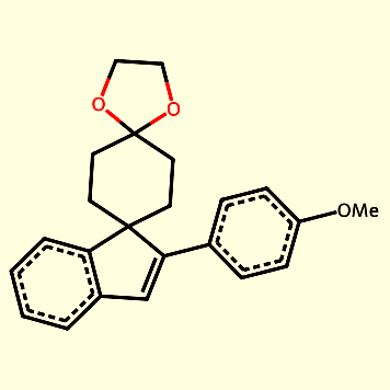 COc1ccc(C2=Cc3ccccc3C23CCC2(CC3)OCCO2)cc1